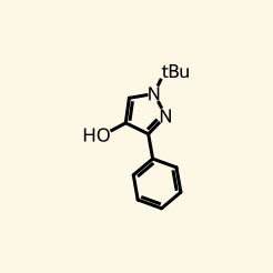 CC(C)(C)n1cc(O)c(-c2ccccc2)n1